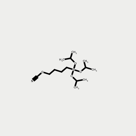 CC(C)O[Si](CCCCOC#N)(OC(C)C)OC(C)C